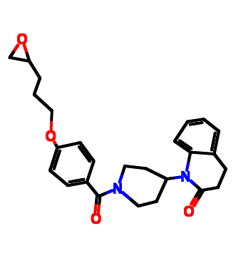 O=C(c1ccc(OCCCC2CO2)cc1)N1CCC(N2C(=O)CCc3ccccc32)CC1